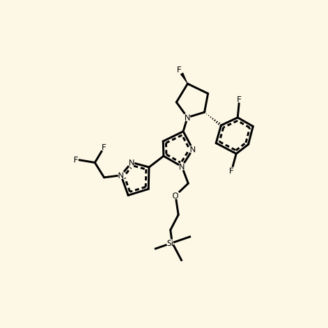 C[Si](C)(C)CCOCn1nc(N2C[C@@H](F)C[C@@H]2c2cc(F)ccc2F)cc1-c1ccn(CC(F)F)n1